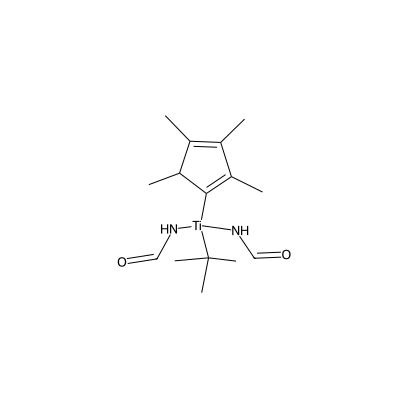 CC1=C(C)C(C)[C]([Ti]([NH]C=O)([NH]C=O)[C](C)(C)C)=C1C